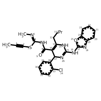 CC#CS/C(=N\C)NC(=O)C1=C(CC(C)C)NC(Nc2nc3ccccc3o2)=NC1c1ccccc1Cl